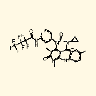 Cc1ccc(Nc2c(C(=O)N(C)C3CC3)c(N(C=O)c3cccc(NC(=O)C(F)(F)C(F)(F)C(F)(F)F)c3)c(C)c(=O)n2C)c(F)c1